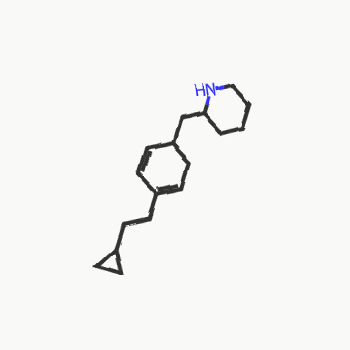 C1=CC(CC2CCCCN2)CC=C1CCC1CC1